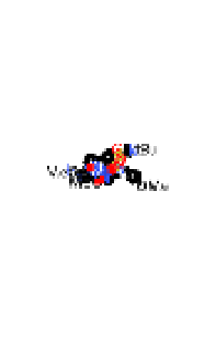 COc1ccc(CN(Cc2ccc(OC)cc2)S(=O)(=O)c2c(S(=O)(=O)C3CN(C(C)(C)C)C3)ccc(-c3cccc(N)n3)c2-c2nnn(Cc3ccc(OC)cc3)n2)cc1